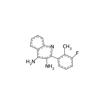 Cc1c(F)cccc1-c1nc2ccccc2c(N)c1N